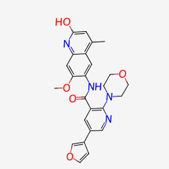 COc1cc2nc(O)cc(C)c2cc1NC(=O)c1cc(-c2ccoc2)cnc1N1CCOCC1